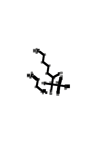 C=CCN.CCCCCC(F)C(F)(F)S(=O)(=O)O